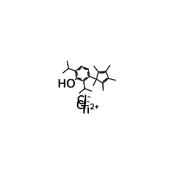 CC1=C(C)C(C)(c2ccc(C(C)C)c(O)c2C(C)C)C(C)=C1C.[Cl-].[Cl-].[Ti+2]